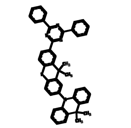 CC1(C)c2cc(-c3nc(-c4ccccc4)nc(-c4ccccc4)n3)ccc2Sc2ccc(N3c4ccccc4C(C)(C)c4ccccc43)cc21